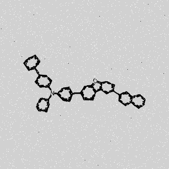 c1ccc(-c2ccc(N(c3ccccc3)c3ccc(-c4ccc5c(c4)oc4ccc(-c6ccc7ccccc7c6)cc45)cc3)cc2)cc1